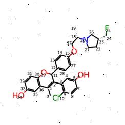 CC1=C(c2cc(O)ccc2Cl)C(c2ccc(OC[C@H](C)N3CC[C@@H](CF)C3)cc2)Oc2ccc(O)cc21